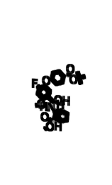 COC(=O)[C@H]1[C@@H]2CC[C@@H](C2)[C@H]1NC(O)c1cc(O[C@H]2CC[C@@H](C(=O)OC(C)(C)C)CC2)c(F)cc1OC